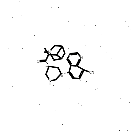 CC(C(=O)[C@H]1CNC[C@@H](c2ccc(C#N)c3ncccc23)C1)C1C2CC1CN(C)C2